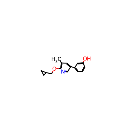 Cc1cc(-c2cccc(O)c2)cnc1OCC1CC1